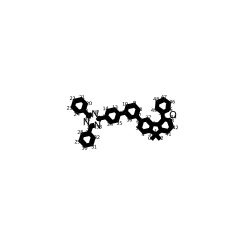 CC1(C)c2ccc(-c3cccc(-c4ccc(-c5nc(-c6ccccc6)nc(-c6ccccc6)n5)cc4)c3)cc2-c2c1ccc1oc3ccccc3c21